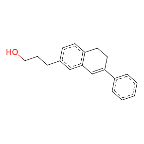 OCCCc1ccc2c(c1)C=C(c1ccccc1)CC2